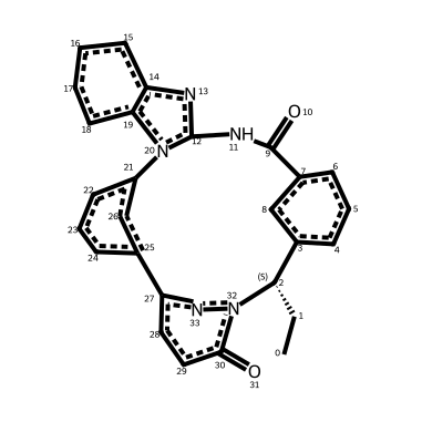 CC[C@H]1c2cccc(c2)C(=O)Nc2nc3ccccc3n2-c2cccc(c2)-c2ccc(=O)n1n2